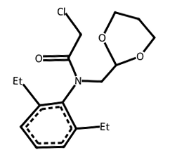 CCc1cccc(CC)c1N(CC1OCCCO1)C(=O)CCl